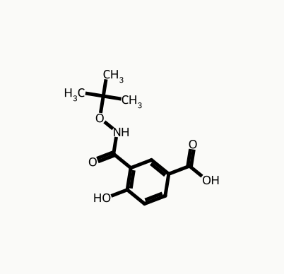 CC(C)(C)ONC(=O)c1cc(C(=O)O)ccc1O